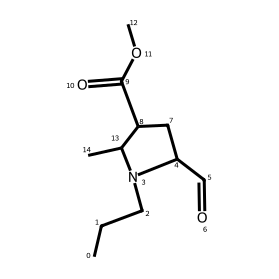 CCCN1C(C=O)CC(C(=O)OC)C1C